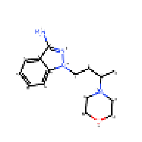 CC(CCn1nc(N)c2ccccc21)N1CCOCC1